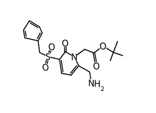 CC(C)(C)OC(=O)Cn1c(CN)ccc(S(=O)(=O)Cc2ccccc2)c1=O